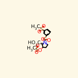 CS(=O)(=O)OC1CCN(S(=O)(=O)c2cccc(S(C)(=O)=O)c2)[C@@H]1C(=O)O